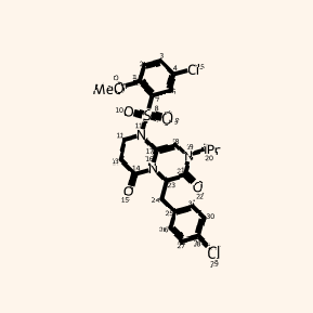 COc1ccc(Cl)cc1S(=O)(=O)N1CCC(=O)N2C1=CN(C(C)C)C(=O)C2Cc1ccc(Cl)cc1